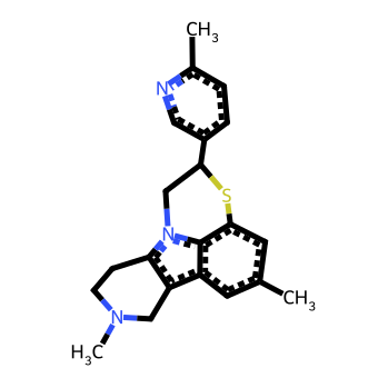 Cc1cc2c3c(c1)c1c(n3CC(c3ccc(C)nc3)S2)CCN(C)C1